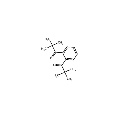 CC(C)(C)C(=O)c1ccccc1C(=O)C(C)(C)C